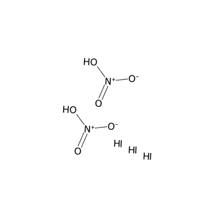 I.I.I.O=[N+]([O-])O.O=[N+]([O-])O